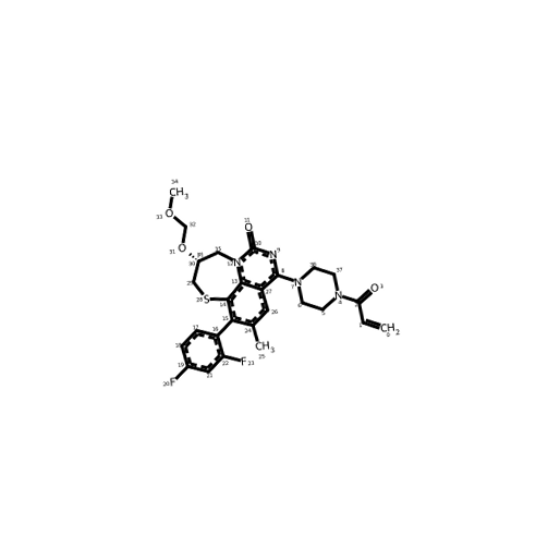 C=CC(=O)N1CCN(c2nc(=O)n3c4c(c(-c5ccc(F)cc5F)c(C)cc24)SC[C@H](OCOC)C3)CC1